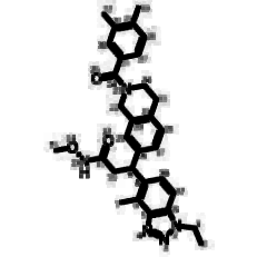 CCn1nnc2c(C)c(C(CC(=O)NOC)c3ccc4c(c3)CN(C(=O)c3ccc(C)c(C)c3)CC4)ccc21